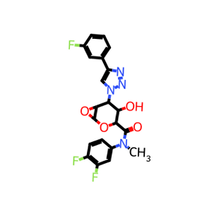 CN(C(=O)C1OC2OC2C(n2cc(-c3cccc(F)c3)nn2)C1O)c1ccc(F)c(F)c1